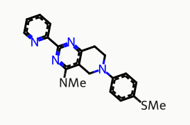 CNc1nc(-c2ccccn2)nc2c1CN(c1ccc(SC)cc1)CC2